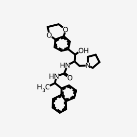 CC(NC(=O)NC(CN1CCCC1)C(O)c1ccc2c(c1)OCCO2)c1cccc2ccccc12